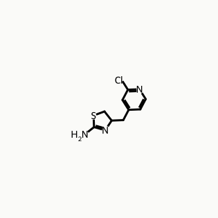 NC1=NC(Cc2ccnc(Cl)c2)CS1